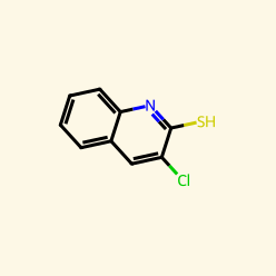 Sc1nc2ccccc2cc1Cl